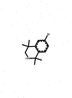 CC1(C)CNC(C)(C)c2ccc(Br)cc21